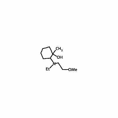 CCN(CCOC)C1CCCCC1(C)O